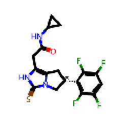 O=C(Cc1[nH]c(=S)n2c1C[C@H](c1c(F)c(F)cc(F)c1F)C2)NC1CC1